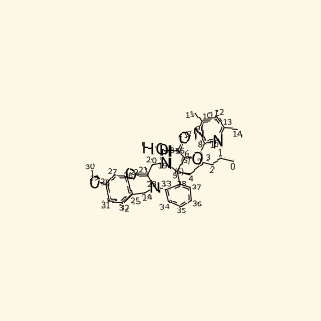 CCCCC[C@]1([C@H](Oc2nc(C)cc(C)n2)C(=O)O)NCC(=O)N(Cc2ccc(OC)cc2)c2ccccc21